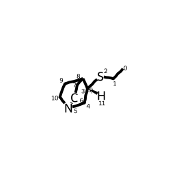 CCS[C@@H]1CN2CCC1CC2